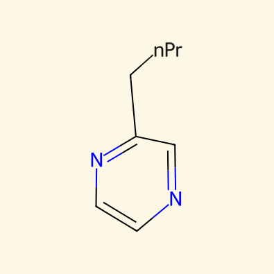 [CH2]CCCc1cnccn1